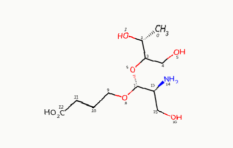 C[C@@H](O)C(CO)O[C@@H](OCCCC(=O)O)[C@@H](N)CO